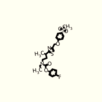 CCN(CCC(C)c1nc(COc2ccc(S(C)(=O)=O)cc2)cs1)C(=O)Oc1ccc(F)cc1